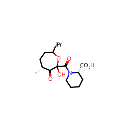 CC(C)C1CC[C@@H](C)C(=O)C(O)(C(=O)N2CCCC[C@H]2C(=O)O)O1